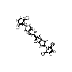 O=C1C=CC(=O)N1C1CC2=C(C1)SC(=C1SC3=C(CC(N4C(=O)C=CC4=O)C3)S1)S2